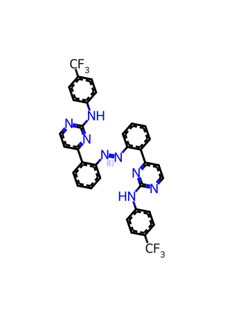 FC(F)(F)c1ccc(Nc2nccc(-c3ccccc3/N=N/c3ccccc3-c3ccnc(Nc4ccc(C(F)(F)F)cc4)n3)n2)cc1